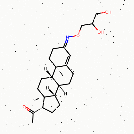 CC(=O)[C@H]1CC[C@H]2[C@@H]3CCC4=CC(=NOCC(O)CO)CC[C@]4(C)[C@H]3CC[C@]12C